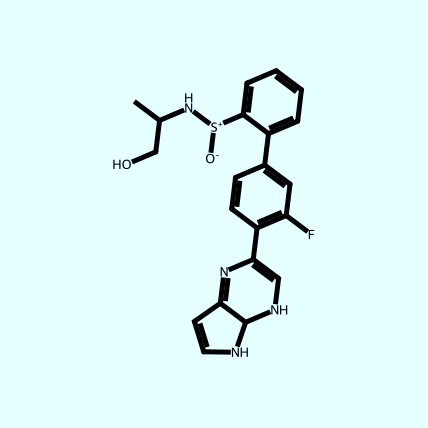 CC(CO)N[S+]([O-])c1ccccc1-c1ccc(C2=CNC3NC=CC3=N2)c(F)c1